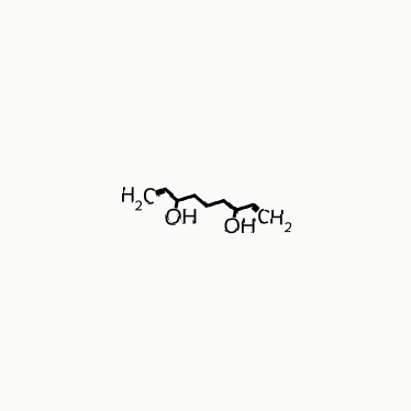 C=CC(O)CCCC(O)C=C